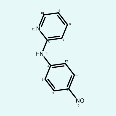 O=Nc1ccc(Nc2ccccn2)cc1